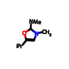 CNC1OC(C(C)C)=CN1C